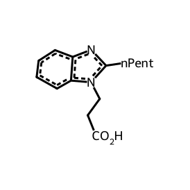 CCCCCc1nc2ccccc2n1CCC(=O)O